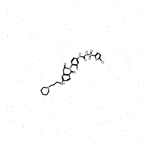 O=C(Nc1ccc(N2C(=O)Cc3cc(NCCCN4CCCCC4)ccc3C2=O)c(F)c1)NS(=O)(=O)c1ccc(Cl)s1